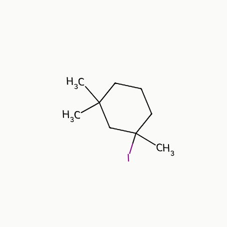 CC1(C)CCCC(C)(I)C1